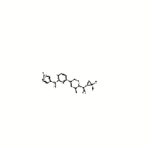 CC1CC(c2ccnc(Nc3cnn(C)c3)n2)CCN1C(=O)C1CC1(F)F